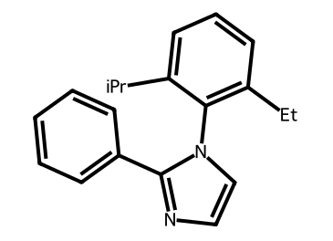 CCc1cccc(C(C)C)c1-n1ccnc1-c1ccccc1